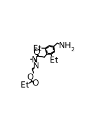 CCC(=O)OCC=NN(C)C(=O)Cc1c(CC)cc(CN)cc1CC